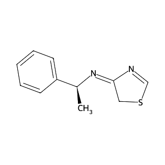 C[C@H](/N=C1\CSC=N1)c1ccccc1